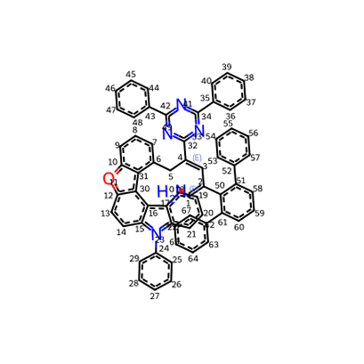 N/C=C(\C=C(/Cc1cccc2oc3ccc4c(c5ccccc5n4-c4ccccc4)c3c12)c1nc(-c2ccccc2)nc(-c2ccccc2)n1)c1c(-c2ccccc2)cccc1-c1ccccc1